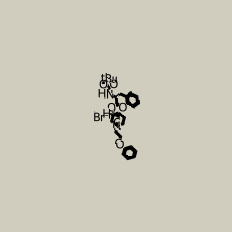 CC(C)(C)OC(=O)N[C@@H](Cc1ccccc1)C(=O)O[C@H]1C[N+]2(CCOc3ccccc3)CCC1CC2.[Br-]